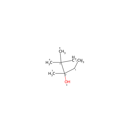 CCC(C)(O)C(C)(C)C